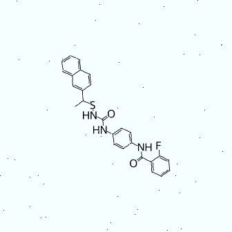 CC(SNC(=O)Nc1ccc(NC(=O)c2ccccc2F)cc1)c1ccc2ccccc2c1